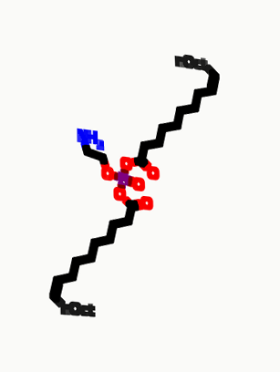 CCCCCCCC/C=C\CCCCCCCC(=O)OP(=O)(OCCN)OC(=O)CCCCCCC/C=C\CCCCCCCC